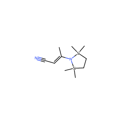 CC(=CC#N)N1[Si](C)(C)CC[Si]1(C)C